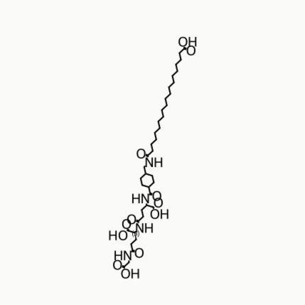 O=C(O)CCCCCCCCCCCCCCCCCCC(=O)NCC1CCC(C(=O)NC(CCC(=O)N[C@@H](CCC(=O)NCC(=O)O)C(=O)O)C(=O)O)CC1